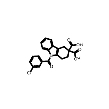 O=C(c1cccc(Cl)c1)n1c2c(c3ccccc31)CC(C(=O)O)(C(=O)O)CC2